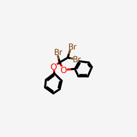 BrC(Br)C(Br)(Oc1ccccc1)Oc1ccccc1